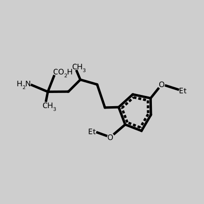 CCOc1ccc(OCC)c(CCC(C)CC(C)(N)C(=O)O)c1